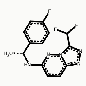 C[C@@H](Nc1ccc2nnc(C(F)F)n2n1)c1ccc(F)cc1